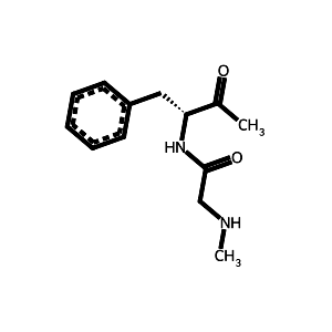 CNCC(=O)N[C@H](Cc1ccccc1)C(C)=O